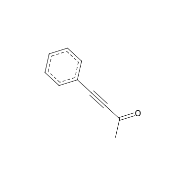 CC(=O)C#Cc1ccccc1